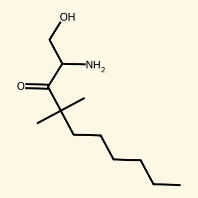 CCCCCCC(C)(C)C(=O)C(N)CO